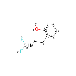 COc1ccccc1CCC[SiH](F)F